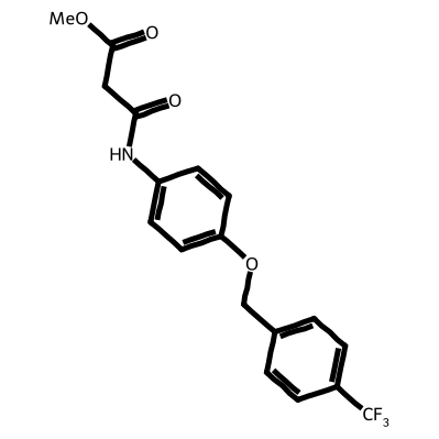 COC(=O)CC(=O)Nc1ccc(OCc2ccc(C(F)(F)F)cc2)cc1